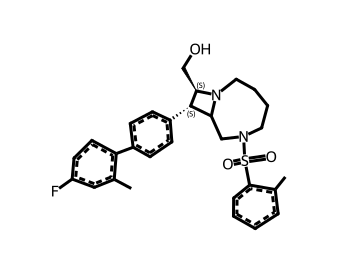 Cc1cc(F)ccc1-c1ccc([C@H]2C3CN(S(=O)(=O)c4ccccc4C)CCCCN3[C@@H]2CO)cc1